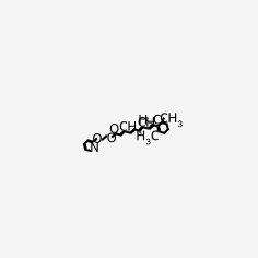 CC1=C(/C=C/C(C)=C/C=C/C(C)=C/C(=O)OCCOc2ccccn2)C(C)(C)CCC1